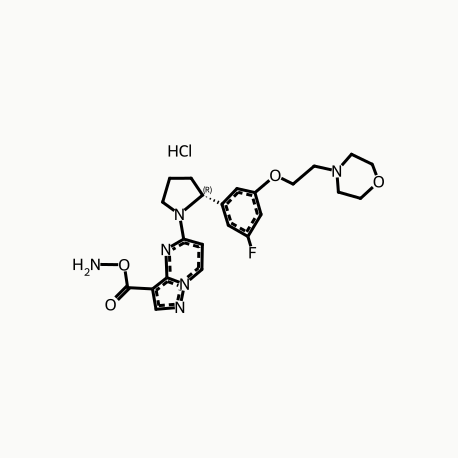 Cl.NOC(=O)c1cnn2ccc(N3CCC[C@@H]3c3cc(F)cc(OCCN4CCOCC4)c3)nc12